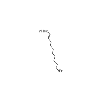 CCCCCCC=CCCCCCCCCC(C)C